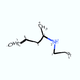 CC(C)CNC(C)CC[C]=O